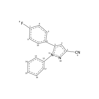 N#Cc1cc(-c2ccc(F)cc2)n(-c2ccccc2)n1